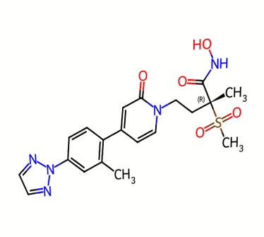 Cc1cc(-n2nccn2)ccc1-c1ccn(CC[C@](C)(C(=O)NO)S(C)(=O)=O)c(=O)c1